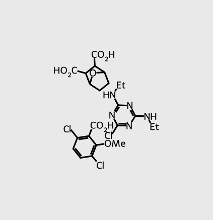 CCNc1nc(Cl)nc(NCC)n1.COc1c(Cl)ccc(Cl)c1C(=O)O.O=C(O)C1C2CCC(O2)C1C(=O)O